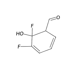 O=CC1C=CC=C(F)C1(O)F